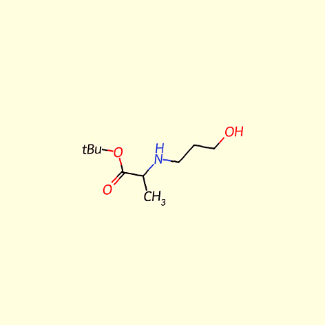 CC(NCCCO)C(=O)OC(C)(C)C